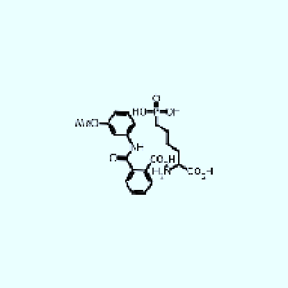 COc1cccc(NC(=O)c2ccccc2C(=O)O)c1.NC(CCCCP(=O)(O)O)C(=O)O